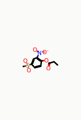 CCC(=O)Oc1ccc(S(C)(=O)=O)cc1[N+](=O)[O-]